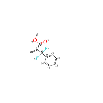 C=C(C(=O)OC)C(F)(F)c1ccccc1